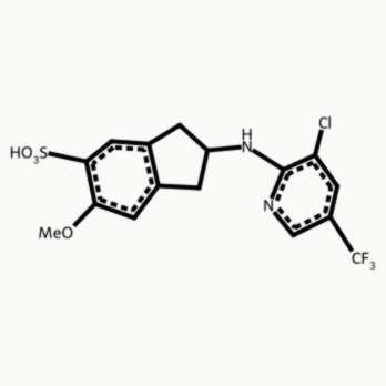 COc1cc2c(cc1S(=O)(=O)O)CC(Nc1ncc(C(F)(F)F)cc1Cl)C2